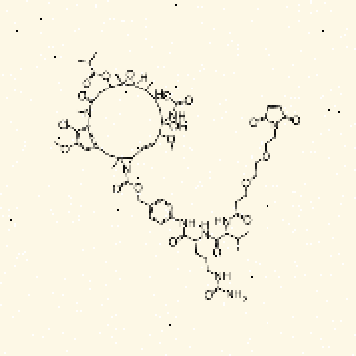 COc1cc2cc(c1Cl)N(C)C(=O)CC(OC(=O)C(C)C)[C@]1(C)O[C@H]1C(C)[C@H]1CC(O)(NC(=O)O1)C(OC)/C=C/C1N(C(=O)OCc3ccc(NC(=O)[C@H](CCCNC(N)=O)NC(=O)[C@@H](NC(=O)CCOCCOCCN4C(=O)C=CC4=O)C(C)C)cc3)C1(C)C2